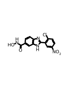 O=C(NO)c1ccc2nc(-c3cc([N+](=O)[O-])ccc3Cl)[nH]c2c1